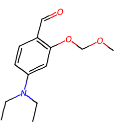 CCN(CC)c1ccc(C=O)c(OCOC)c1